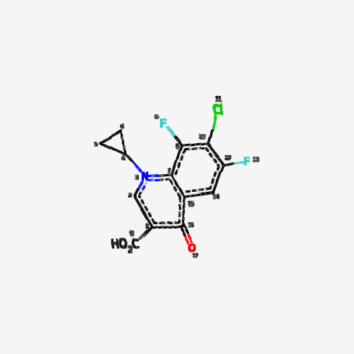 O=C(O)c1cn(C2CC2)c2c(F)c(Cl)c(F)cc2c1=O